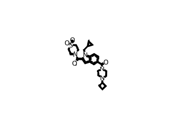 O=C(c1ccc2c(c1)cc(C(=O)N1CCS(=O)(=O)CC1)n2CC1CC1)N1CCN(C2CCC2)CC1